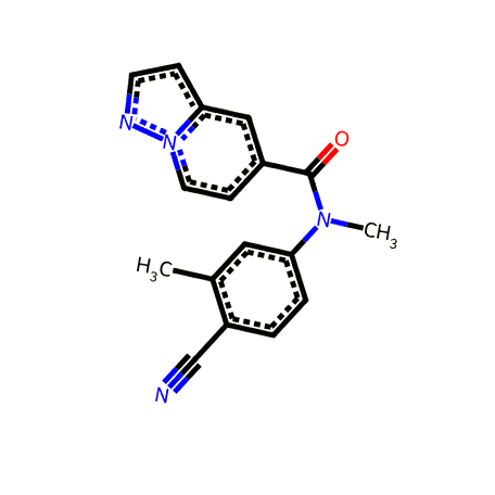 Cc1cc(N(C)C(=O)c2ccn3nccc3c2)ccc1C#N